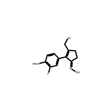 CCCCCCCCCc1ccc(C2=C(CC(C)C)CCC2=NO)cc1F